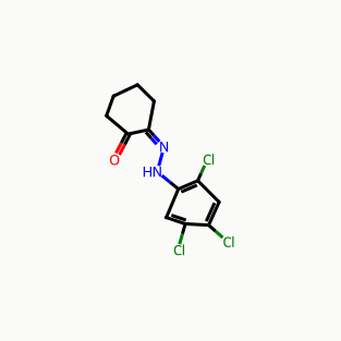 O=C1CCCCC1=NNc1cc(Cl)c(Cl)cc1Cl